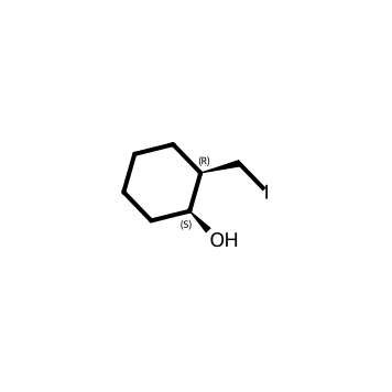 O[C@H]1CCCC[C@H]1CI